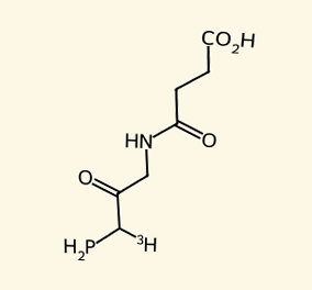 [3H]C(P)C(=O)CNC(=O)CCC(=O)O